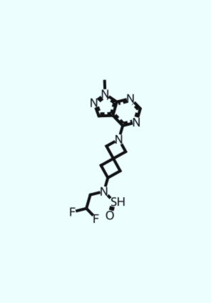 Cn1ncc2c(N3CC4(CC(N(CC(F)F)[SH]=O)C4)C3)ncnc21